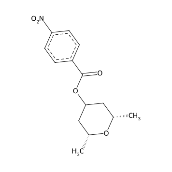 C[C@@H]1CC(OC(=O)c2ccc([N+](=O)[O-])cc2)C[C@H](C)O1